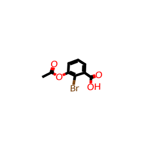 CC(=O)Oc1cccc(C(=O)O)c1Br